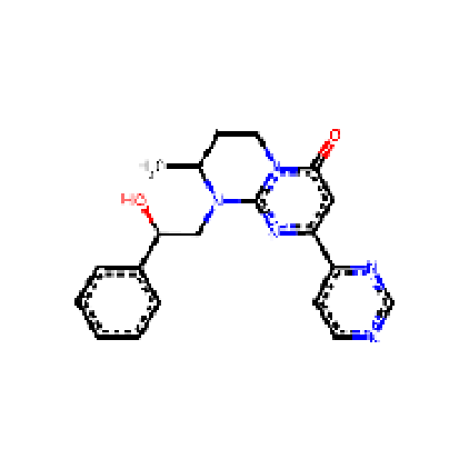 CC1CCn2c(nc(-c3ccncn3)cc2=O)N1C[C@H](O)c1ccccc1